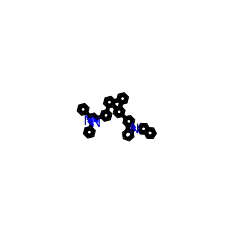 C1=Cc2c(c3cc(-c4ccc5c(c4)c4ccccc4c4cccc(-c6cccc(-c7cc(-c8ccccc8)nc(-c8ccccc8)n7)c6)c45)ccc3n2-c2ccc3ccccc3c2)CC1